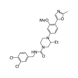 CCC1CN(C(=O)NCc2ccc(Cl)c(Cl)c2)CCN1c1ccc(-c2cnc(C)o2)c(OC)c1